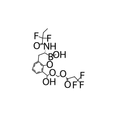 CCC(F)(F)C(=O)N[C@H]1Cc2cccc(C(O)OCOC(=O)CC(F)(F)F)c2OB1O